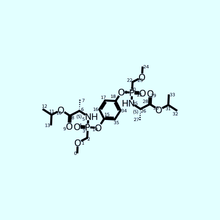 COCP(=O)(N[C@@H](C)C(=O)OC(C)C)Oc1ccc(OP(=O)(COC)N[C@@H](C)C(=O)OC(C)C)cc1